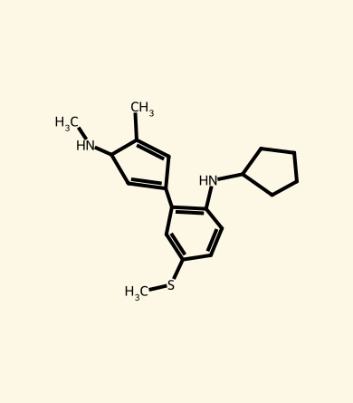 CNC1C=C(c2cc(SC)ccc2NC2CCCC2)C=C1C